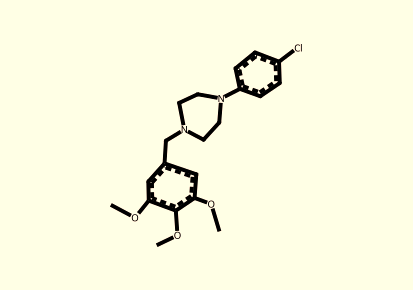 COc1cc(CN2CCN(c3ccc(Cl)cc3)CC2)cc(OC)c1OC